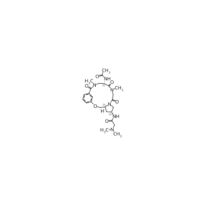 CC(=O)N[C@H]1CN(C)C(=O)c2cccc(c2)OC[C@@H]2C[C@H](NC(=O)CN(C)C)CN2C(=O)CN(C)C1=O